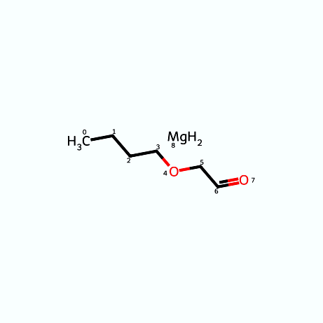 CCCCOCC=O.[MgH2]